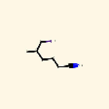 CC(CI)CCCC#N